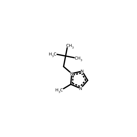 Cc1ncnn1CC(C)(C)C